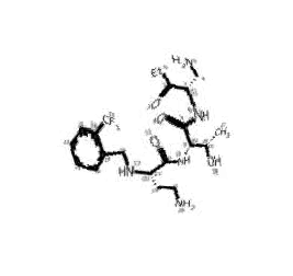 CCC(=O)[C@H](CN)NC(=O)[C@@H](NC(=O)[C@H](CCN)NCc1ccccc1C(F)(F)F)[C@H](C)O